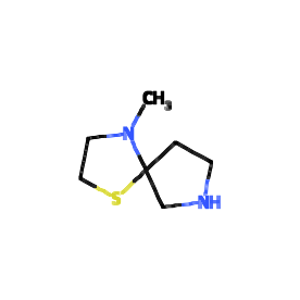 CN1CCSC12CCNC2